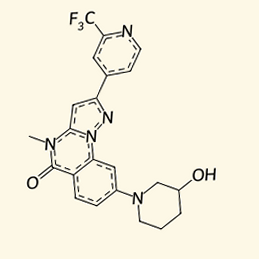 Cn1c(=O)c2ccc(N3CCCC(O)C3)cc2n2nc(-c3ccnc(C(F)(F)F)c3)cc12